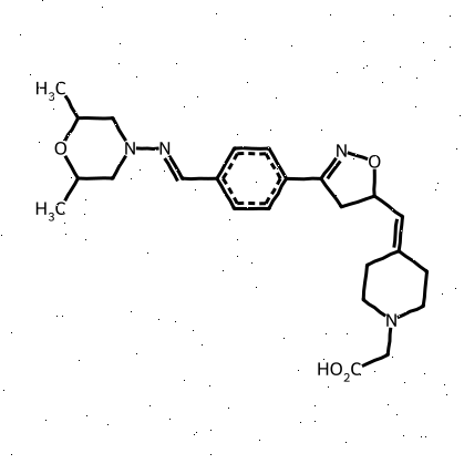 CC1CN(N=Cc2ccc(C3=NOC(C=C4CCN(CC(=O)O)CC4)C3)cc2)CC(C)O1